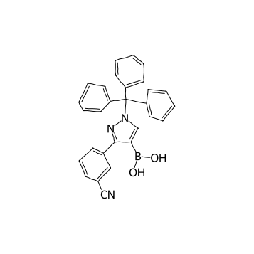 N#Cc1cccc(-c2nn(C(c3ccccc3)(c3ccccc3)c3ccccc3)cc2B(O)O)c1